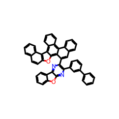 c1ccc(-c2cccc(-c3nc4oc5ccccc5c4nc3-c3cc4ccccc4c4c5ccccc5c5c(oc6ccc7ccccc7c65)c34)c2)cc1